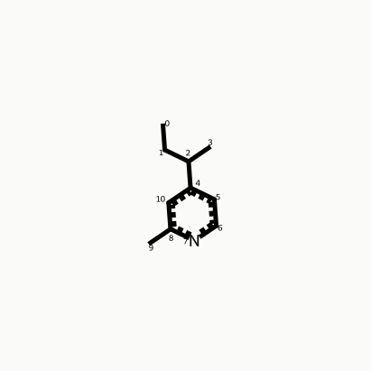 CCC(C)c1ccnc(C)c1